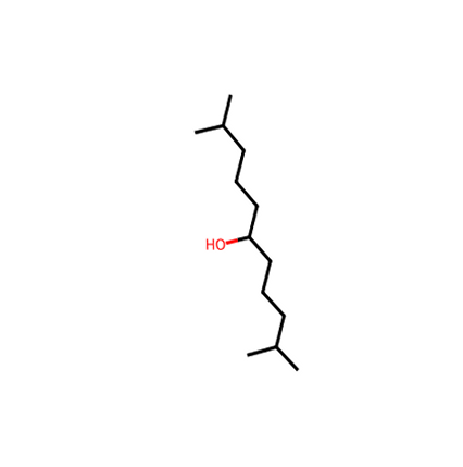 CC(C)CCCC(O)CCCC(C)C